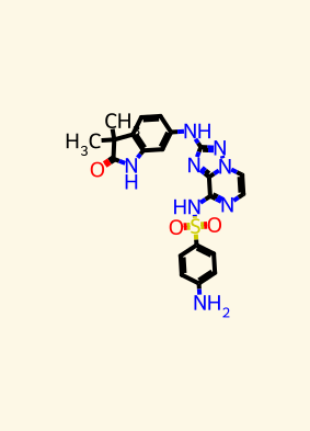 CC1(C)C(=O)Nc2cc(Nc3nc4c(NS(=O)(=O)c5ccc(N)cc5)nccn4n3)ccc21